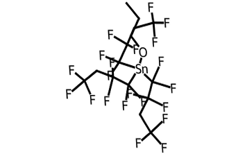 CCC[O][Sn]([C](F)(F)C(F)(F)CC(F)(F)F)([C](F)(F)C(F)(F)CC(F)(F)F)[C](F)(F)C(F)(F)CC(F)(F)F